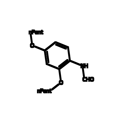 CCCCCOc1ccc(NC=O)c(OCCCCC)c1